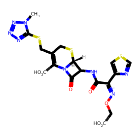 Cn1nnnc1SCC1=C(C(=O)O)N2C(=O)C(NC(=O)/C(=N\OCC(=O)O)c3cscn3)[C@H]2SC1